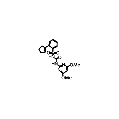 COc1cc(OC)nc(NC(=O)NS(=O)(=O)c2ccccc2C2=CCCC2)n1